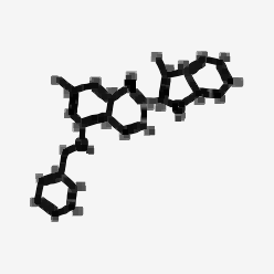 Cc1cc(OCc2ccccc2)c2ccc(-c3oc4ccccc4c3C)nc2c1